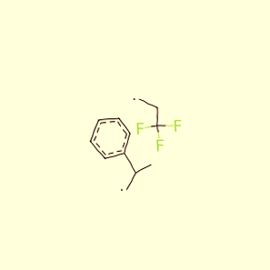 [CH2]C(C)c1ccccc1.[CH2]CC(F)(F)F